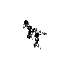 COc1cc(N2CCN(CCS(C)(=O)=O)CC2)c(C)cc1Nc1nccc(-c2oc(N3CCCC3)nc2-c2cccc(NS(=O)(=O)c3c(F)cccc3F)c2)n1